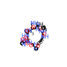 CCC1NC(=O)C(NC(=O)c2ncccc2O)CNC(=O)C(Cc2ccccc2)NC(=O)CCCCNC(=O)C(Cc2ccccc2)NC(=O)NC(CC(C)C)C(=O)C(CCCN)NC1=O